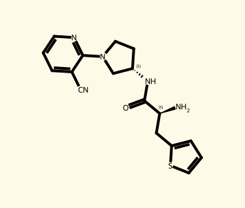 N#Cc1cccnc1N1CC[C@H](NC(=O)[C@@H](N)Cc2cccs2)C1